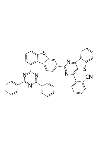 N#Cc1ccccc1-c1nc(-c2ccc3c(c2)sc2cccc(-c4nc(-c5ccccc5)nc(-c5ccccc5)n4)c23)nc2c1sc1ccccc12